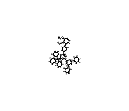 Cc1cncc(-c2ccc(-c3cc(-c4nc(-c5ccccc5)nc(-c5ccccc5)n4)c4c(c3)C(c3ccccc3)(c3ccccc3)c3ccccc3-4)cc2)c1C